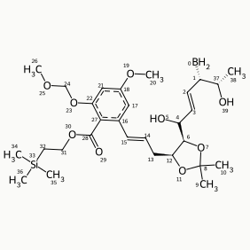 B[C@@H](C=CC(O)[C@H]1OC(C)(C)O[C@H]1C/C=C/c1cc(OC)cc(OCOC)c1C(=O)OCC[Si](C)(C)C)[C@H](C)O